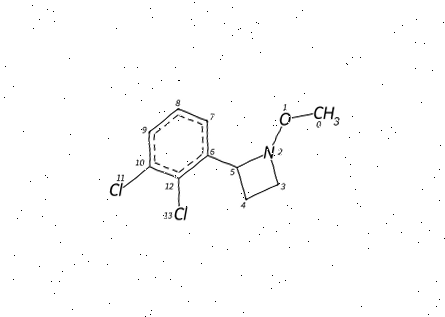 CON1CCC1c1cccc(Cl)c1Cl